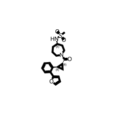 CS(=O)(=O)N[C@@H]1CCCN(C(=O)[C@@H]2C[C@H]2c2ccccc2-c2ccco2)CC1